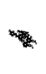 Cc1cc(-c2c(C)cccc2C)cc([C@H](CC(=O)O)NC(=O)C(CC(C)C)n2cc(CCN3CCC(F)C3)cc(F)c2=O)c1F